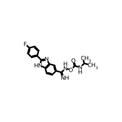 CC(C)NC(=O)ONC(=N)c1ccc2[nH]c(-c3ccc(F)cc3)nc2c1